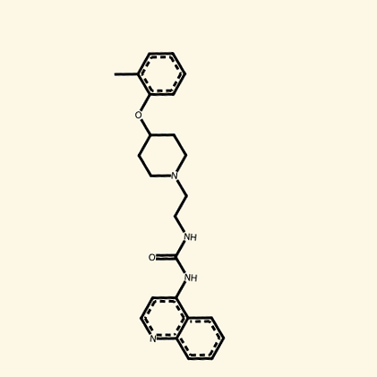 Cc1ccccc1OC1CCN(CCNC(=O)Nc2ccnc3ccccc23)CC1